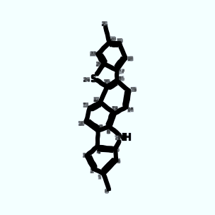 Cc1ccc2c(c1)[nH]c1c2ccc2c1ccc1c3ccc(C)cc3sc12